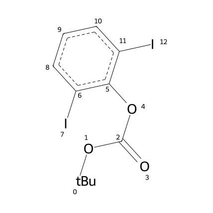 CC(C)(C)OC(=O)Oc1c(I)cccc1I